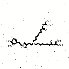 CCCCCCCCC(CCCCCCCC)OC(=O)CCCCCCCN(CCCCCCCC(=O)OC(CCCCCCCC)CCCCCCCC)CCc1cn(CCC2=C[C@@H](O)[C@@H](O)[C@H](O)C2)nn1